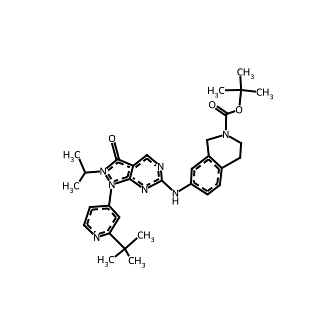 CC(C)n1c(=O)c2cnc(Nc3ccc4c(c3)CN(C(=O)OC(C)(C)C)CC4)nc2n1-c1ccnc(C(C)(C)C)c1